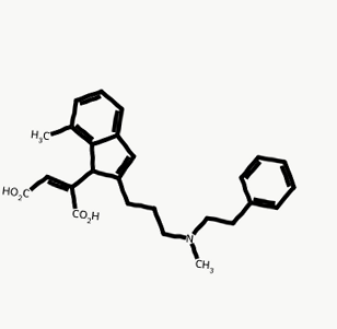 Cc1cccc2c1C(C(=CC(=O)O)C(=O)O)C(CCCN(C)CCc1ccccc1)=C2